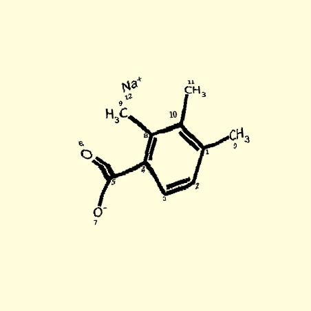 Cc1ccc(C(=O)[O-])c(C)c1C.[Na+]